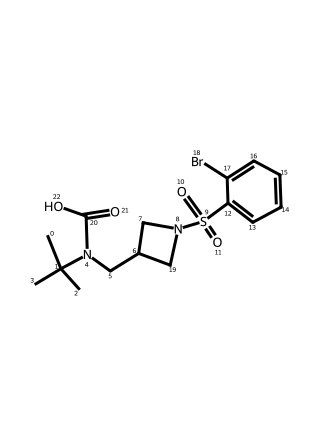 CC(C)(C)N(CC1CN(S(=O)(=O)c2ccccc2Br)C1)C(=O)O